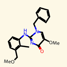 COCc1cccc(Nc2nc(=O)c(OC)cn2Cc2ccccc2)c1C